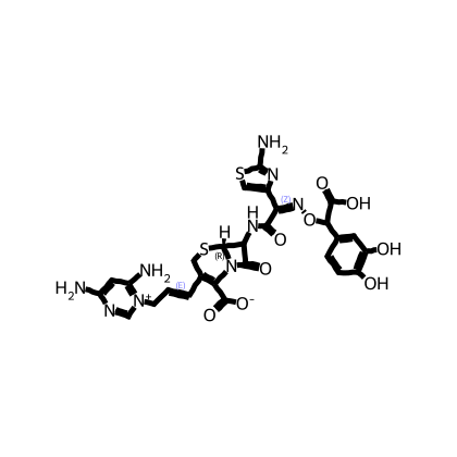 Nc1cc(N)[n+](C/C=C/C2=C(C(=O)[O-])N3C(=O)C(NC(=O)/C(=N\OC(C(=O)O)c4ccc(O)c(O)c4)c4csc(N)n4)[C@H]3SC2)cn1